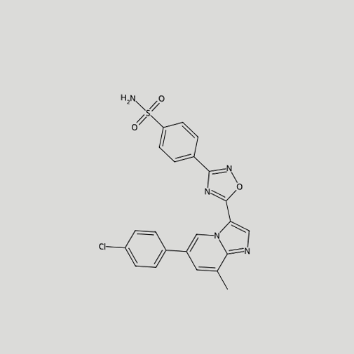 Cc1cc(-c2ccc(Cl)cc2)cn2c(-c3nc(-c4ccc(S(N)(=O)=O)cc4)no3)cnc12